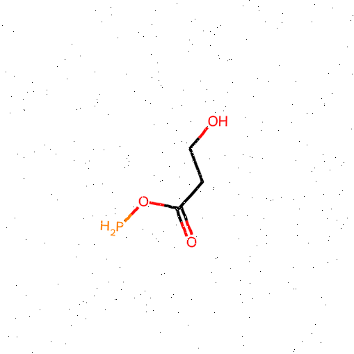 O=C(CCO)OP